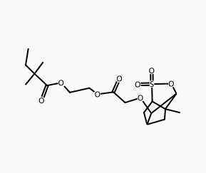 CCC(C)(C)C(=O)OCCOC(=O)COC1C2CC3C(C)(C2)C1OS3(=O)=O